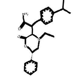 CCN1C[C@H](c2ccccc2)OC(=O)C1C(C(N)=O)c1ccc(C(C)C)cc1